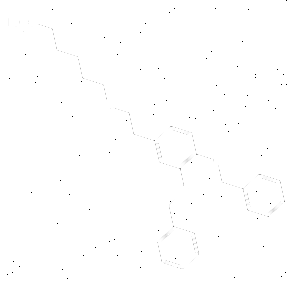 O=C(O)CCCCCSCCc1ccc(OCc2ccccc2)c(OCc2ccccc2)c1